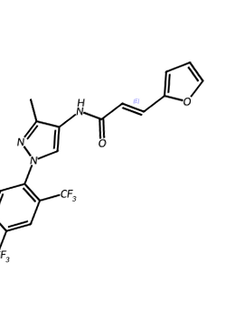 Cc1nn(-c2ccc(C(F)(F)F)cc2C(F)(F)F)cc1NC(=O)/C=C/c1ccco1